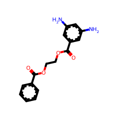 Nc1cc(N)cc(C(=O)OCCOC(=O)c2ccccc2)c1